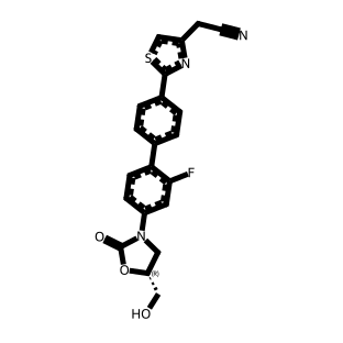 N#CCc1csc(-c2ccc(-c3ccc(N4C[C@H](CO)OC4=O)cc3F)cc2)n1